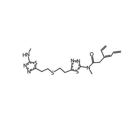 C=C/C=C(\C=C)CC(=O)N(C)c1nnc(CCSCCc2nnc(NC)s2)s1